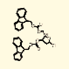 O=C(OCC1c2ccccc2-c2ccccc21)OC[C@H]1OC(Cl)CC1OC(=O)OCC1c2ccccc2-c2ccccc21